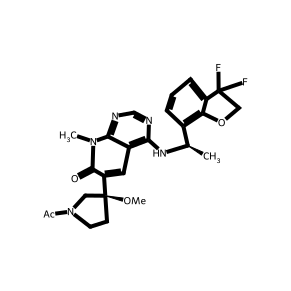 CO[C@@]1(c2cc3c(N[C@H](C)c4cccc5c4OCC5(F)F)ncnc3n(C)c2=O)CCN(C(C)=O)C1